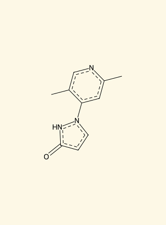 Cc1cc(-n2ccc(=O)[nH]2)c(C)cn1